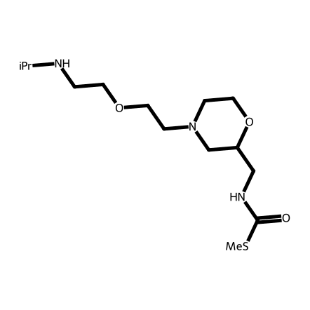 CSC(=O)NCC1CN(CCOCCNC(C)C)CCO1